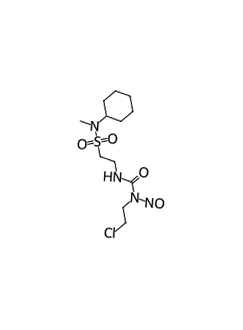 CN(C1CCCCC1)S(=O)(=O)CCNC(=O)N(CCCl)N=O